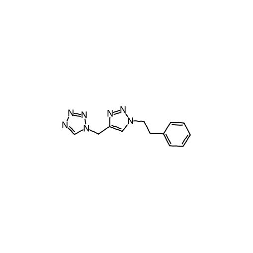 c1ccc(CCn2cc(Cn3cnnn3)nn2)cc1